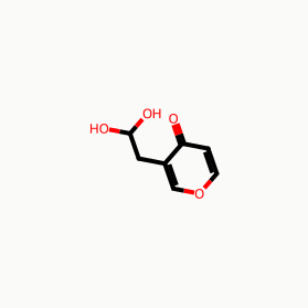 O=c1ccocc1CC(O)O